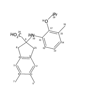 Cc1cc2c(cc1C)CC(Nc1cccc(C)c1OC(C)C)(C(=O)O)C2